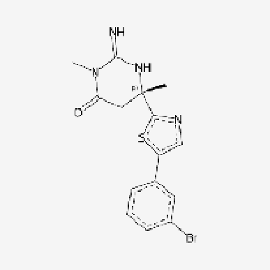 CN1C(=N)N[C@](C)(c2ncc(-c3cccc(Br)c3)s2)CC1=O